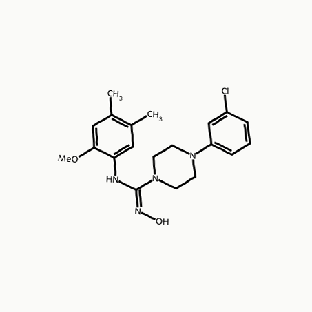 COc1cc(C)c(C)cc1NC(=NO)N1CCN(c2cccc(Cl)c2)CC1